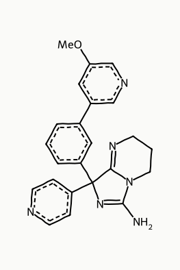 COc1cncc(-c2cccc(C3(c4ccncc4)N=C(N)N4CCCN=C43)c2)c1